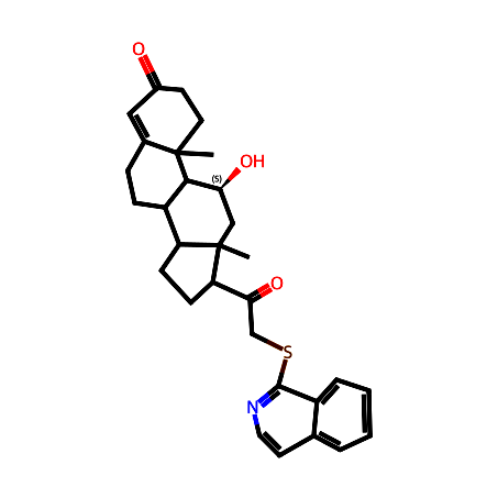 CC12CCC(=O)C=C1CCC1C2[C@@H](O)CC2(C)C(C(=O)CSc3nccc4ccccc34)CCC12